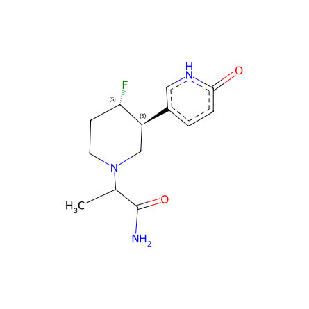 CC(C(N)=O)N1CC[C@H](F)[C@@H](c2ccc(=O)[nH]c2)C1